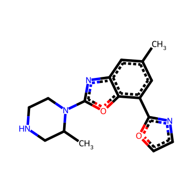 Cc1cc(-c2ncco2)c2oc(N3CCNCC3C)nc2c1